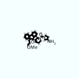 COCCCCC(O)(c1ccccc1-c1ccccc1)[C@@H]1CCCN(C(=O)N2CC[C@H](N)C2)C1